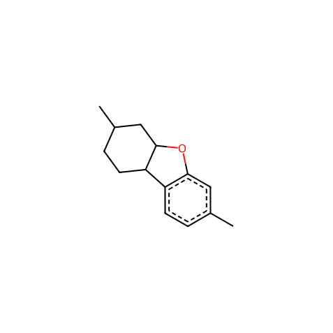 Cc1ccc2c(c1)OC1CC(C)CCC21